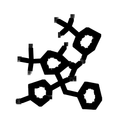 O=C(NC(Cc1ccccc1)(c1cc(F)cc(C(F)(F)F)c1)c1ccc(Cl)cn1)Oc1cccc(C(F)(F)F)c1